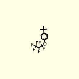 CC(C)(C)c1ccc(OC(F)(F)C(F)C(F)(F)F)cc1